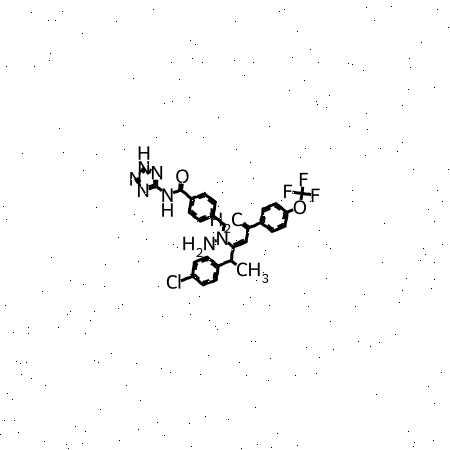 C=C(/C=C(/C(C)c1ccc(Cl)cc1)N(N)Cc1ccc(C(=O)Nc2nn[nH]n2)cc1)c1ccc(OC(F)(F)F)cc1